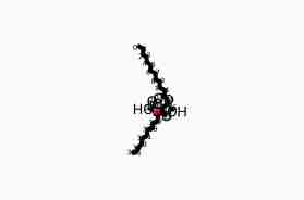 CCCCCCCCCCCCC(=O)O[C@@H](CO)C(OP(=O)(O)O)C(=O)CCCCCCCCCCC